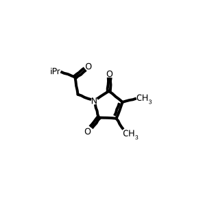 CC1=C(C)C(=O)N(CC(=O)C(C)C)C1=O